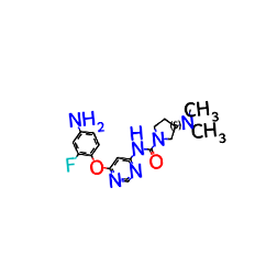 CN(C)[C@H]1CCN(C(=O)Nc2cc(Oc3ccc(N)cc3F)ncn2)C1